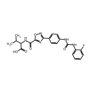 CC(C)C(NC(=O)c1nc(-c2ccc(NC(=O)Nc3ccccc3F)cc2)no1)C(=O)O